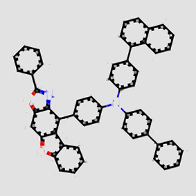 c1ccc(-c2ccc(N(c3ccc(-c4cccc5ccccc45)cc3)c3ccc(-c4c5nc(-c6ccccc6)oc5cc5oc6ccccc6c45)cc3)cc2)cc1